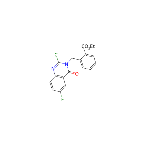 CCOC(=O)c1ccccc1Cn1c(Cl)nc2ccc(F)cc2c1=O